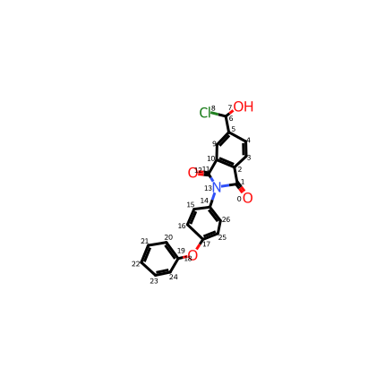 O=C1c2ccc(C(O)Cl)cc2C(=O)N1c1ccc(Oc2ccccc2)cc1